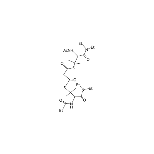 CCC(=O)NC(C(=O)N(CC)CC)C(C)(C)SC(=O)CC(=O)SC(C)(C)C(NC(C)=O)C(=O)N(CC)CC